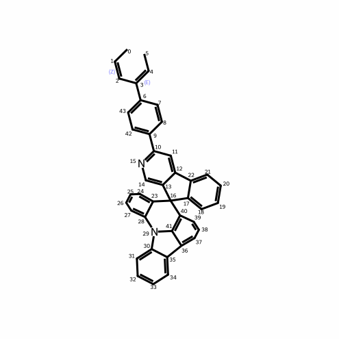 C/C=C\C(=C/C)c1ccc(-c2cc3c(cn2)C2(c4ccccc4-3)c3ccccc3-n3c4ccccc4c4cccc2c43)cc1